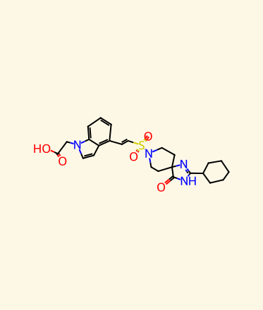 O=C(O)Cn1ccc2c(C=CS(=O)(=O)N3CCC4(CC3)N=C(C3CCCCC3)NC4=O)cccc21